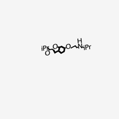 CC(C)NCCCOc1ccc2cc(C(=O)C(C)C)oc2c1